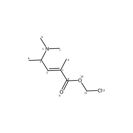 CC(=CC(C)N(C)C)C(=O)OCCl